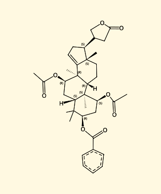 CC(=O)O[C@H]1C[C@@H](OC(=O)c2ccccc2)C(C)(C)[C@@H]2C[C@@H](OC(C)=O)[C@@]3(C)C4=CC[C@@H](C5COC(=O)C5)[C@]4(C)CC[C@@H]3[C@@]12C